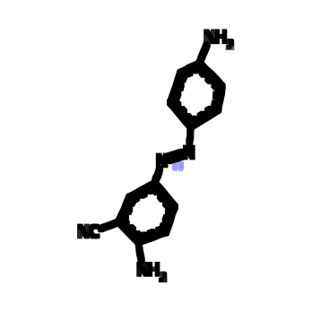 N#Cc1cc(/N=N/c2ccc(N)cc2)ccc1N